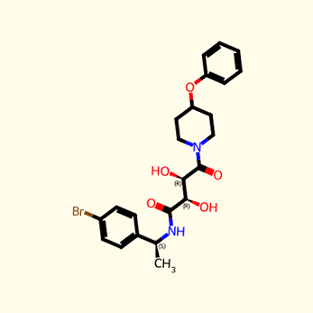 C[C@H](NC(=O)[C@H](O)[C@@H](O)C(=O)N1CCC(Oc2ccccc2)CC1)c1ccc(Br)cc1